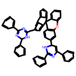 C1=C(c2ccccc2)N=C(c2ccccc2)NC1c1ccc2c(c1)Oc1ccccc1C21c2ccccc2-c2cc(C3=NC(c4ccccc4)=NC(c4ccccc4)N3)ccc21